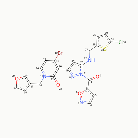 O=C(c1ccno1)n1nc(-c2c(Br)ccn(Cc3ccoc3)c2=O)cc1NCc1ccc(Cl)s1